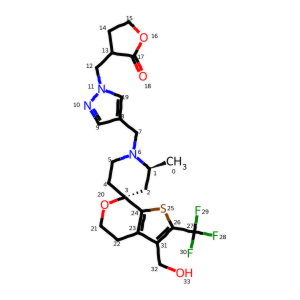 C[C@H]1C[C@@]2(CCN1Cc1cnn(CC3CCOC3=O)c1)OCCc1c2sc(C(F)(F)F)c1CO